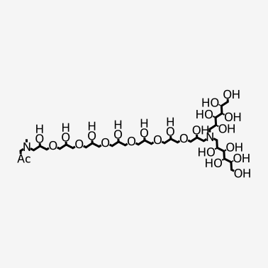 CC(=O)CN(C)CC(O)COCC(O)COCC(O)COCC(O)COCC(O)COCC(O)COCC(O)CN(C[C@H](O)[C@@H](O)[C@H](O)[C@H](O)CO)C[C@H](O)[C@@H](O)[C@H](O)[C@H](O)CO